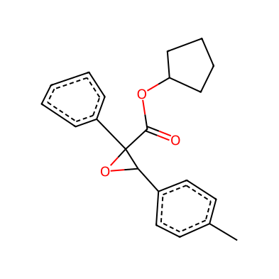 Cc1ccc(C2OC2(C(=O)OC2CCCC2)c2ccccc2)cc1